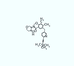 Cc1c(Cc2ccc(C#C[Si](C)(C)C)nc2)cc2c(c1C)OCN([C@H]1COCC[C@@H]1O)C2=O